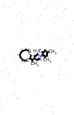 Cc1cc(C)c(N2C=CC(C(C)C3CCCCCCCCCCC3)C=C2)c(C)c1